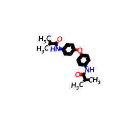 CC(C)C(=O)Nc1ccc(Oc2ccc(NC(=O)C(C)C)cc2)cc1